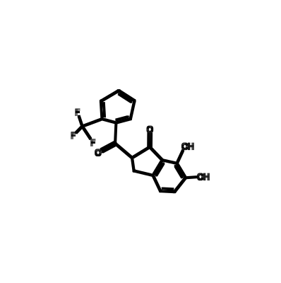 O=C(c1ccccc1C(F)(F)F)C1Cc2ccc(O)c(O)c2C1=O